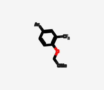 COCOc1ccc(C(C)=O)cc1C(F)(F)F